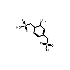 CC1C=C(CS(=O)(=O)O)C=CC1CS(=O)(=O)O